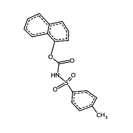 Cc1ccc(S(=O)(=O)NC(=O)Oc2cccc3ccccc23)cc1